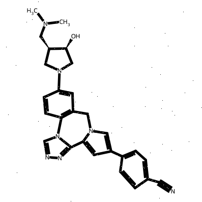 CN(C)C[C@@H]1CN(c2ccc3c(c2)Cn2cc(-c4ccc(C#N)cc4)cc2-c2nncn2-3)C[C@@H]1O